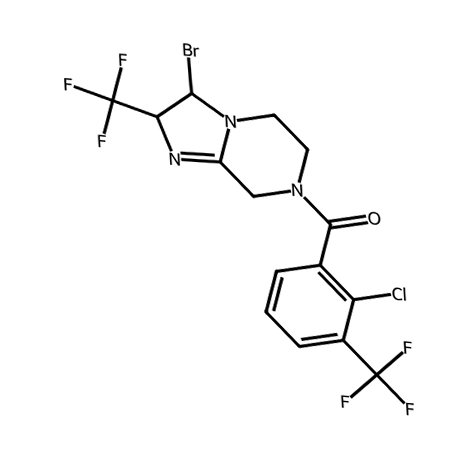 O=C(c1cccc(C(F)(F)F)c1Cl)N1CCN2C(=NC(C(F)(F)F)C2Br)C1